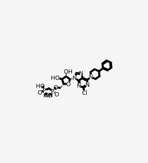 O=P(O)(O)CP(=O)(O)OC[C@H]1O[C@@H](n2cnc3c(N4CCC(c5ccccc5)CC4)nc(Cl)nc32)[C@@H](O)C1O